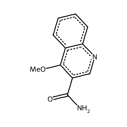 COc1c(C(N)=O)cnc2ccccc12